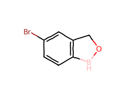 Brc1ccc2c(c1)COB2